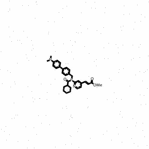 COC(=O)/C=C/c1ccnc(N(Cc2ccc(-c3ccc(N(C)C)cc3)cc2)C(=O)C2CCCCC2)c1